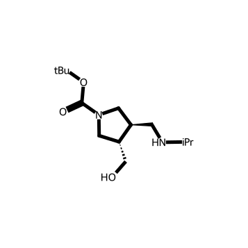 CC(C)NC[C@@H]1CN(C(=O)OC(C)(C)C)C[C@H]1CO